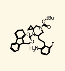 CC(C)(C)OC(=O)N1CC(CCc2c(N)cccc2F)N(C(=O)OCC2c3ccccc3-c3ccccc32)C2(CC2)C1